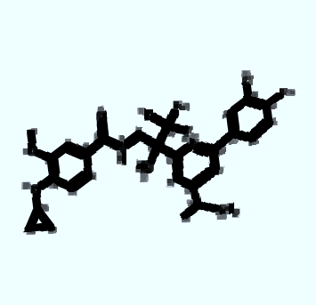 COc1cc(C(=O)NCC(O)(c2cc(C(C)N)cc(-c3ccc(F)c(Cl)c3)n2)C(F)(F)F)ccc1OC1CC1